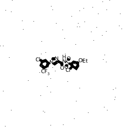 CCOc1ccc(Cl)c(S(=O)(=O)NC(=O)c2cn(-c3cc(Cl)cc(C(F)(F)F)c3)cn2)c1